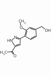 COc1cc(CO)ccc1-c1cc(C(C)=O)[nH]n1